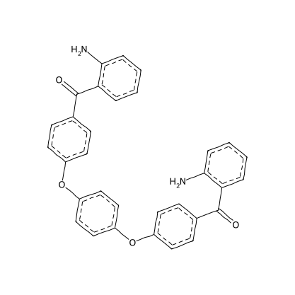 Nc1ccccc1C(=O)c1ccc(Oc2ccc(Oc3ccc(C(=O)c4ccccc4N)cc3)cc2)cc1